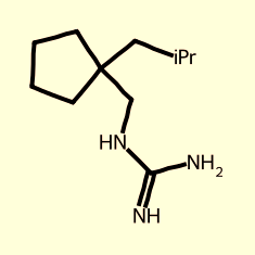 CC(C)CC1(CNC(=N)N)CCCC1